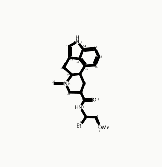 CCC(COC)NC(=O)C1CC2c3cccc4[nH]cc(c34)CC2N(C)C1